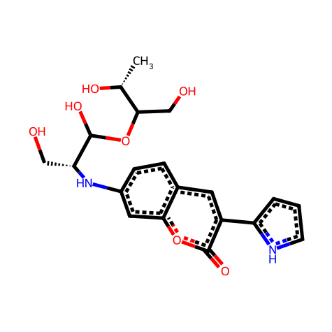 C[C@@H](O)C(CO)OC(O)[C@@H](CO)Nc1ccc2cc(-c3ccc[nH]3)c(=O)oc2c1